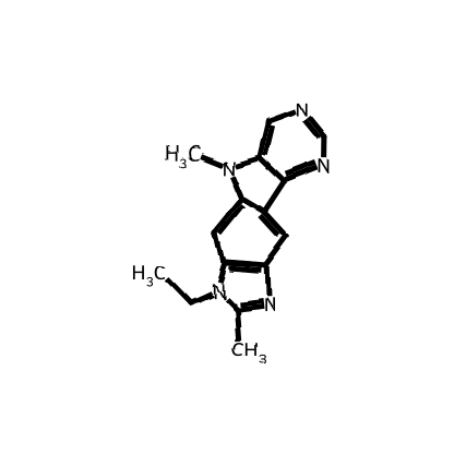 CCn1c(C)nc2cc3c4ncncc4n(C)c3cc21